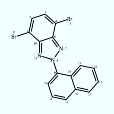 Brc1ccc(Br)c2nn(-c3cccc4ccccc34)nc12